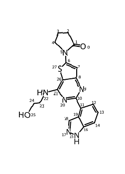 O=C1CCCN1c1cc2nc(-c3cccc4[nH]ncc34)nc(NCCO)c2s1